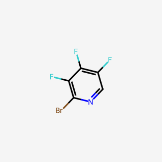 Fc1cnc(Br)c(F)c1F